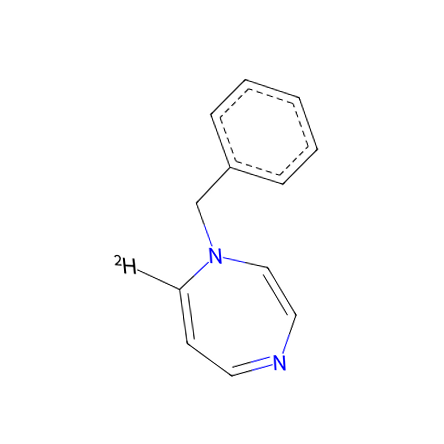 [2H]C1=CC=NC=CN1Cc1ccccc1